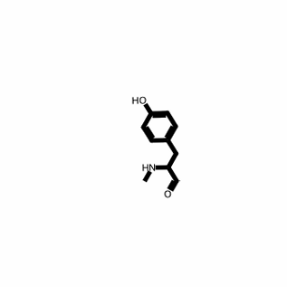 CNC([C]=O)Cc1ccc(O)cc1